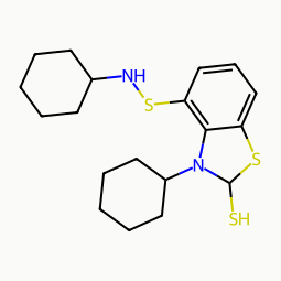 SC1Sc2cccc(SNC3CCCCC3)c2N1C1CCCCC1